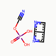 N#COP(=O)(O)O.c1nc2ncc1-2